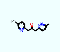 Cc1ccc(CC(=O)Cc2ccc(C(C)C)cn2)nn1